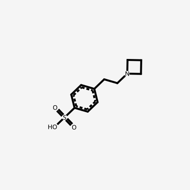 O=S(=O)(O)c1ccc(CCN2CCC2)cc1